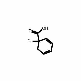 [2H]C1(C(=O)O)C=CC=CC1